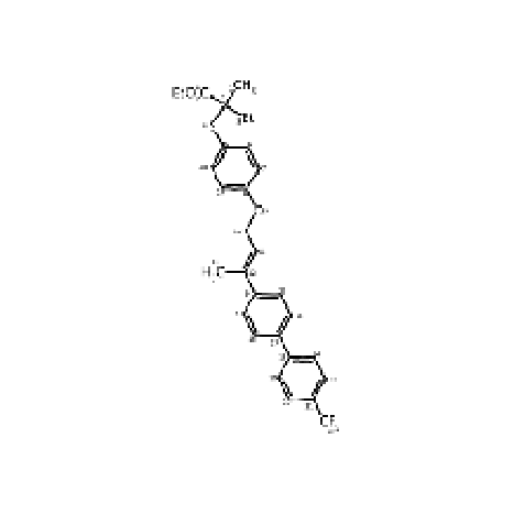 CCOC(=O)[C@@](C)(CC)Sc1ccc(OC/C=C(\C)c2ccc(-c3ccc(C(F)(F)F)cc3)cc2)cc1